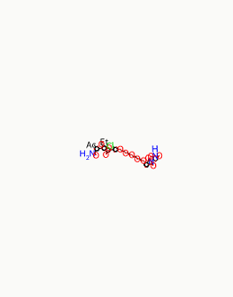 CCOc1cc2oc(-c3ccc(OCCOCCOCCOCCOc4cccc5c4C(=O)N(C4CCC(=O)NC4=O)C5=O)cc3Cl)cc(=O)c2cc1-c1cc(C(C)=O)cc(C(N)=O)c1